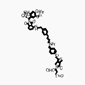 CCOc1cc([C@@H](CS(C)(=O)=O)N2C(=O)c3cccc(NCCc4ccc(CCCCNCc5ccc(OCc6scc7c6CN(C(C=O)CCC=O)C7=O)cc5)cc4)c3C2=O)ccc1OC